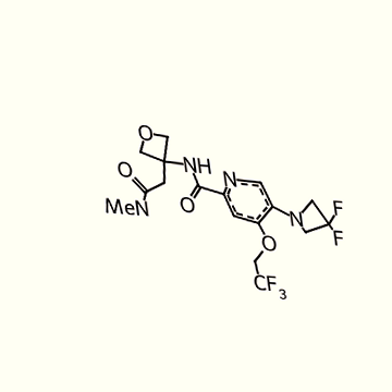 CNC(=O)CC1(NC(=O)c2cc(OCC(F)(F)F)c(N3CC(F)(F)C3)cn2)COC1